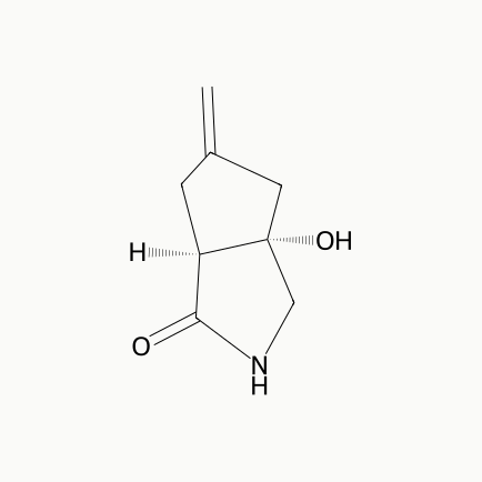 C=C1C[C@@H]2C(=O)NC[C@]2(O)C1